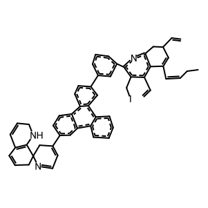 C=Cc1c(CI)c(-c2cccc(-c3ccc4c5ccc(C6=CC=NC7(CC=CC8=C7NCC=C8)C6)cc5c5ccccc5c4c3)c2)nc2c1C(/C=C\CC)=CC(C=C)C2